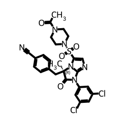 CC(=O)N1CCN(S(=O)(=O)c2cnc3n2[C@](C)(Cc2ccc(C#N)cc2)C(=O)N3c2cc(Cl)cc(Cl)c2)CC1